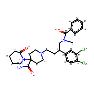 CN(CC(CCN1CCC(C(N)=O)(N2CCCCC2=O)CC1)c1ccc(Cl)c(Cl)c1)C(=O)c1ccccc1